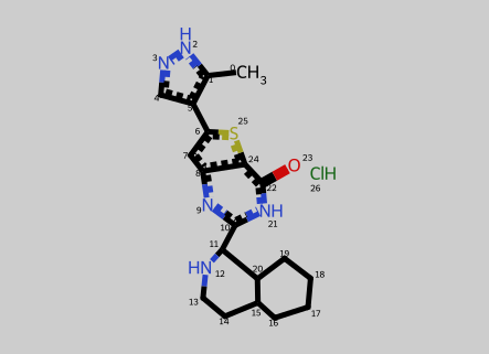 Cc1[nH]ncc1-c1cc2nc(C3NCCC4CCCCC43)[nH]c(=O)c2s1.Cl